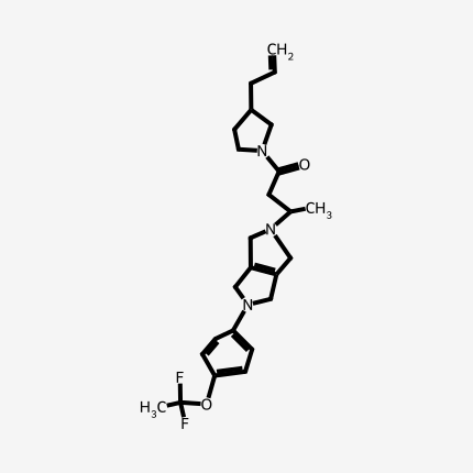 C=CCC1CCN(C(=O)CC(C)N2CC3=C(CN(c4ccc(OC(C)(F)F)cc4)C3)C2)C1